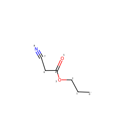 [CH2]CCOC(=O)CC#N